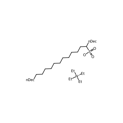 CCCCCCCCCCCCCCCCCCCCCC(CCCCCCCCCC)S(=O)(=O)[O-].CC[N+](CC)(CC)CC